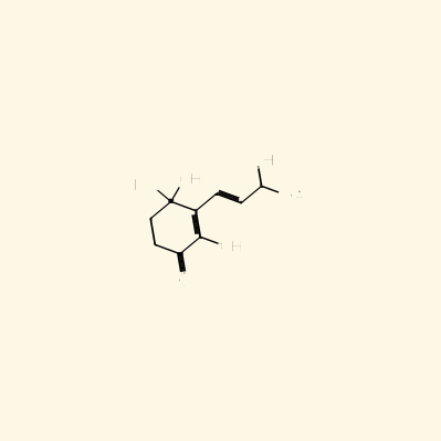 CC(=O)OC(C)C=CC1=C(C)C(=O)CCC1(C)C